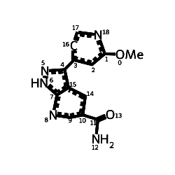 COc1cc(-c2n[nH]c3ncc(C(N)=O)cc23)ccn1